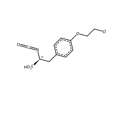 O=C=N[C@@H](Cc1ccc(OCCCl)cc1)C(=O)O